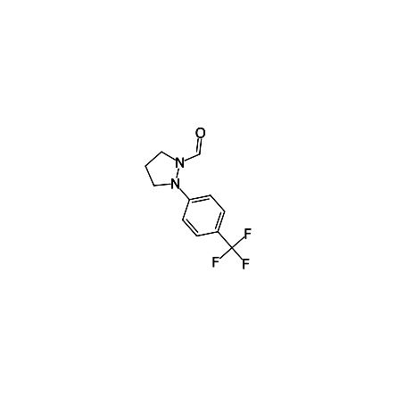 O=CN1CCCN1c1ccc(C(F)(F)F)cc1